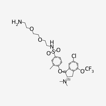 Cc1cc(S(=O)(=O)NCCOCCOCCN)ccc1O[C@H]1c2cc(Cl)cc(OC(F)(F)F)c2C[C@@H]1N(C)C